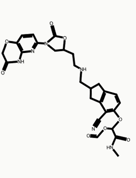 CNC(=O)C(OC=O)Oc1ccc2c(c1C#N)CC(CNCCC1CN(c3ccc4c(n3)NC(=O)CO4)C(=O)O1)C2